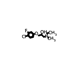 CCN(C)CC(O)COc1ccc(Cl)c(F)c1